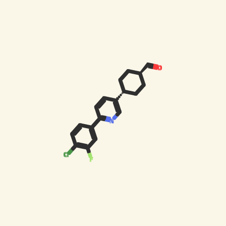 O=C[C@H]1CC[C@H](c2ccc(-c3ccc(Cl)c(F)c3)nc2)CC1